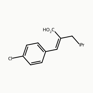 CC(C)C/C(=C/c1ccc(Cl)cc1)C(=O)O